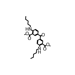 CCCCCNc1ccc(C(=O)c2ccc(NCCCCC)c(C(=O)OC)c2)cc1C(=O)OC